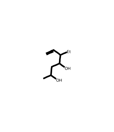 C=CC(CC)C(O)CC(C)O